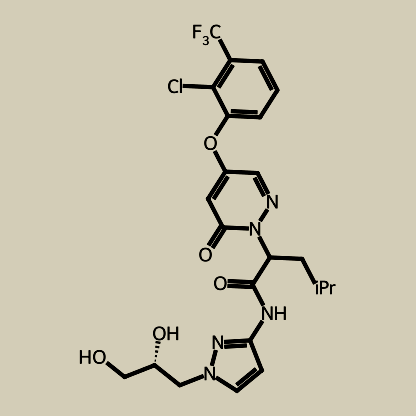 CC(C)CC(C(=O)Nc1ccn(C[C@@H](O)CO)n1)n1ncc(Oc2cccc(C(F)(F)F)c2Cl)cc1=O